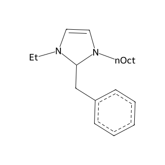 CCCCCCCCN1C=CN(CC)C1Cc1ccccc1